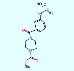 CC(C)(C)OC(=O)N1CCN(C(=O)c2cccc(N[C@H](C(=O)O)C(C)(C)C)c2)CC1